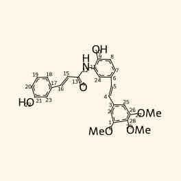 COc1cc(C=Cc2ccc(O)c(NC(=O)/C=C/c3cccc(O)c3)c2)cc(OC)c1OC